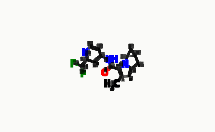 Cc1cc2n(c1C(=O)Nc1ccnc(C(F)F)c1)C1CC1C2